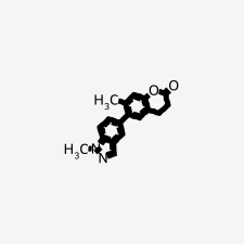 Cc1cc2c(cc1-c1ccc3c(cnn3C)c1)CCC(=O)O2